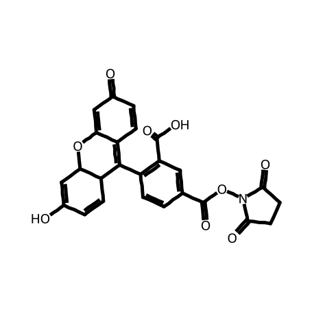 O=C1C=CC2=C(c3ccc(C(=O)ON4C(=O)CCC4=O)cc3C(=O)O)C3C=CC(O)=CC3OC2=C1